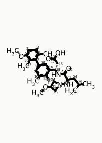 COc1ccc(C)c(-c2cc(C)c(F)c([C@H](CC(=O)O)NC(=O)C(CC(C)C)NN3CC(OC)C3)c2)c1C